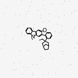 CCC1(c2cccc3oc4cc5c6ccccc6n(C)c5cc4c23)CC2CCC(C2)C1